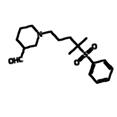 CC(C)(CCCN1CCCC(C=O)C1)S(=O)(=O)c1ccccc1